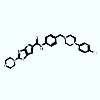 O=C(Nc1ccc(CN2CCN(c3ccc(Cl)cc3)CC2)cc1)c1cc2sc(N3CCOCC3)nc2s1